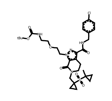 CC(C)(C)OC(=O)NCCOCCn1nc(C(=O)NCc2ccc(Cl)cc2)c2c1C(=O)N(CC1(S(=O)(=O)C3(C)CC3)CC1)CC2